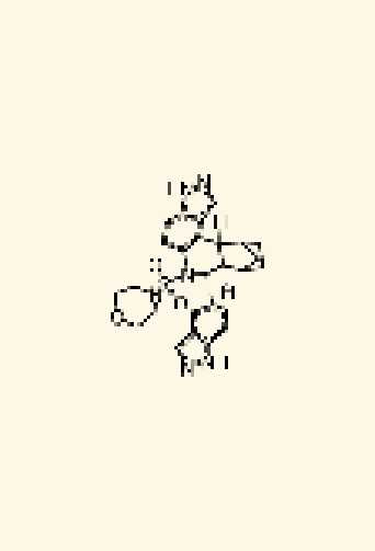 O=S(=O)(N1CCOCC1)N1c2ccc3[nH]ncc3c2[C@H]2C3CCC(C3)[C@H]2[C@@H]1c1ccc2[nH]ncc2c1